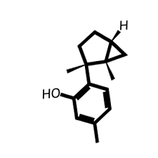 Cc1ccc([C@]2(C)CC[C@@H]3C[C@@]32C)c(O)c1